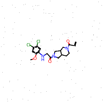 C=CC(=O)N1CCC2CN(C(=O)CNc3cc(Cl)c(Cl)cc3OC)CC2C1